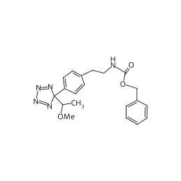 COC(C)C1(c2ccc(CCNC(=O)OCc3ccccc3)cc2)N=NN=N1